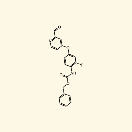 O=Cc1cc(Oc2ccc(NC(=O)OCc3ccccc3)c(F)c2)ccn1